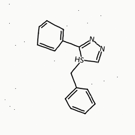 C1=NN=C(c2ccccc2)[SH]1Cc1ccccc1